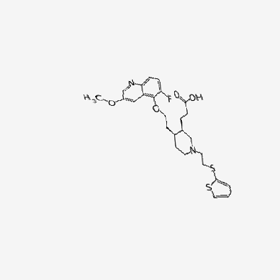 COc1cnc2ccc(F)c(OCC[C@@H]3CCN(CCSc4cccs4)C[C@@H]3CCC(=O)O)c2c1